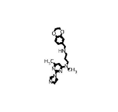 Cc1cc(N(C)CCCNCc2ccc3c(c2)OCCO3)nc(-n2ccnc2)n1